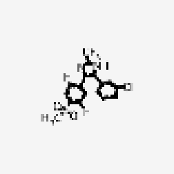 CS(=O)(=O)c1cc(F)c(-c2nc(C(F)(F)F)[nH]c2-c2cccc(Cl)c2)cc1F